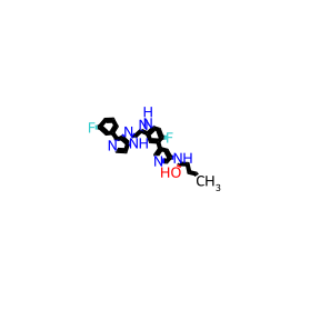 CCCCC(O)Nc1cncc(-c2cc3c(-c4nc5c(-c6cccc(F)c6)nccc5[nH]4)n[nH]c3cc2F)c1